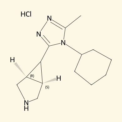 Cc1nnc(C2[C@H]3CNC[C@@H]23)n1C1CCCCC1.Cl